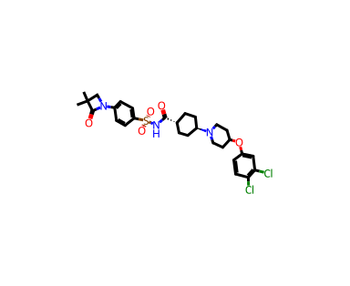 CC1(C)CN(c2ccc(S(=O)(=O)NC(=O)[C@H]3CC[C@H](N4CCC(Oc5ccc(Cl)c(Cl)c5)CC4)CC3)cc2)C1=O